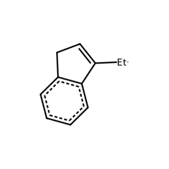 C[CH]C1=CCc2ccccc21